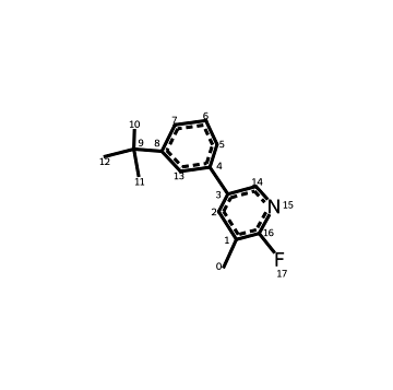 Cc1cc(-c2cccc(C(C)(C)C)c2)cnc1F